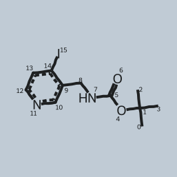 CC(C)(C)OC(=O)NCc1cnccc1I